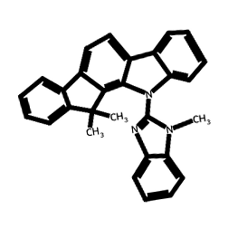 Cn1c(-n2c3ccccc3c3ccc4c(c32)C(C)(C)c2ccccc2-4)nc2ccccc21